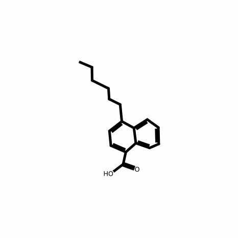 CCCCCCc1ccc(C(=O)O)c2ccccc12